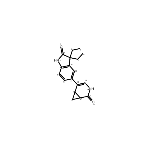 CCC1(CC)C(=O)Nc2ccc(C3=NNC(=O)C4CC34)cc21